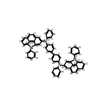 c1ccc(N(c2ccc(-c3ccc(N(c4ccccc4)c4cc5ccc6cccc7c6c5c(c4)n7-c4ccccc4)cc3)cc2)c2cc3ccc4cccc5c4c3c(c2)n5-c2ccccc2)cc1